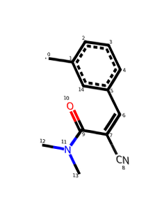 [CH2]c1cccc(C=C(C#N)C(=O)N(C)C)c1